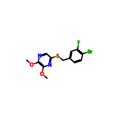 COc1ncc(SCc2ccc(Br)c(F)c2)nc1OC